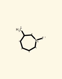 CC1CCCCN(F)C1